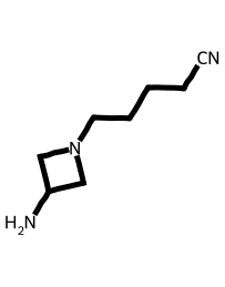 N#CCCCCN1CC(N)C1